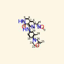 CO/N=C(\C)c1cc2cc[nH]c(=O)c2c(Nc2ccc(N3CCO[C@H](C)C3)c(C)c2)n1